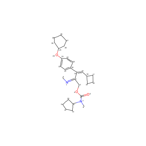 C/N=C(COC(=O)N(C)C1CCCC1)\C(=C/C1CCC1)c1ccc(OC2CCCCC2)cc1